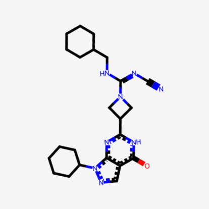 N#C/N=C(/NCC1CCCCC1)N1CC(c2nc3c(cnn3C3CCCCC3)c(=O)[nH]2)C1